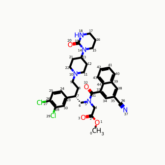 COC(=O)CN(C[C@@H](CCN1CCC(N2CCCNC2=O)CC1)c1ccc(Cl)c(Cl)c1)C(=O)c1cc(C#N)cc2ccccc12